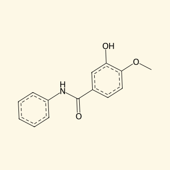 COc1ccc(C(=O)Nc2ccccc2)cc1O